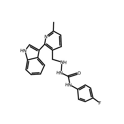 Cc1ccc(CNNC(=O)Nc2ccc(F)cc2)c(-c2c[nH]c3ccccc23)n1